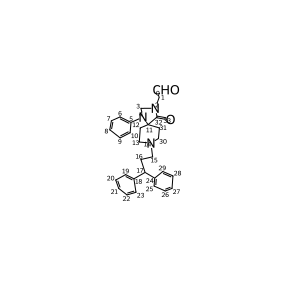 O=CCN1CN(c2ccccc2)C2(CCN(CCC(c3ccccc3)c3ccccc3)CC2)C1=O